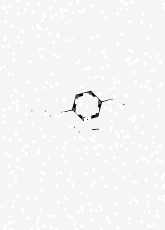 CC#N.CCOc1ccc(NC(C)=O)cc1